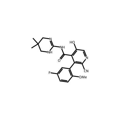 COc1ccc(F)cc1-c1c(C#N)ncc(O)c1C(=O)NC1=NCC(C)(C)CN1